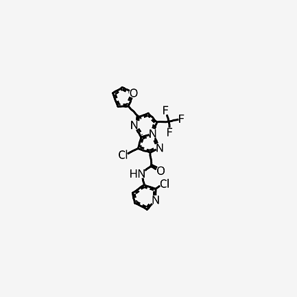 O=C(Nc1cccnc1Cl)c1nn2c(C(F)(F)F)cc(-c3ccco3)nc2c1Cl